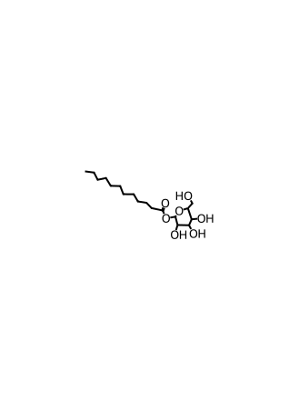 CCCCCCCCCCCC(=O)OC1OC(CO)C(O)C(O)C1O